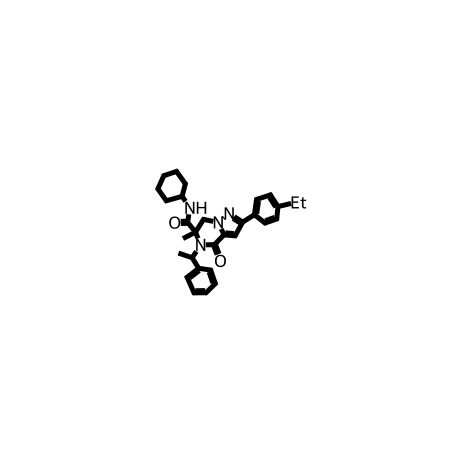 CCc1ccc(-c2cc3n(n2)CC(C)(C(=O)NC2CCCCC2)N(C(C)c2ccccc2)C3=O)cc1